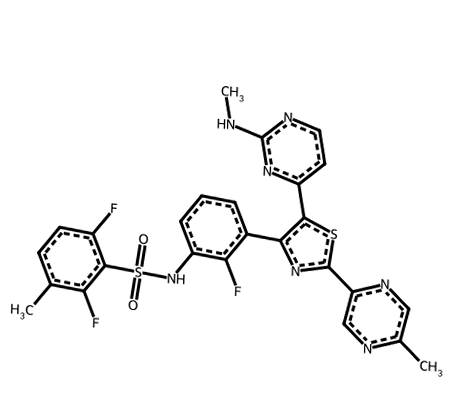 CNc1nccc(-c2sc(-c3cnc(C)cn3)nc2-c2cccc(NS(=O)(=O)c3c(F)ccc(C)c3F)c2F)n1